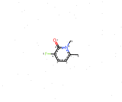 Cc1ccc(F)c(=O)n1C